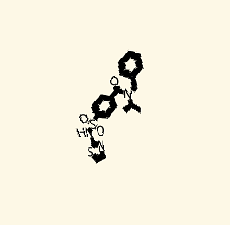 CC(C)N(Cc1ccccc1)C(=O)c1ccc(S(=O)(=O)Nc2nccs2)cc1